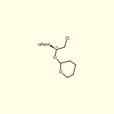 CCCCC[C@@H](CCl)OC1CCCCO1